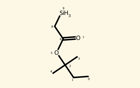 CCC(C)(C)OC(=O)C[SiH3]